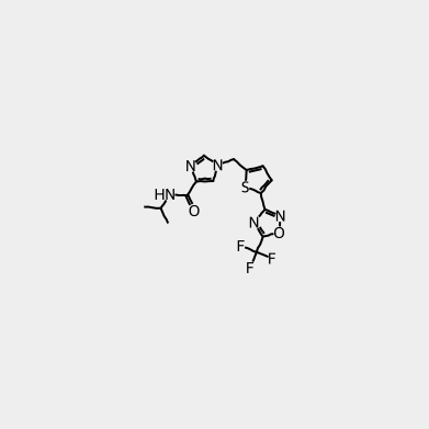 CC(C)NC(=O)c1cn(Cc2ccc(-c3noc(C(F)(F)F)n3)s2)cn1